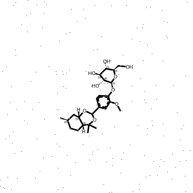 COc1cc(C2O[C@H]3C[C@H](C)CC[C@H]3C(C)(C)O2)ccc1O[C@@H]1O[C@H](CO)[C@@H](O)[C@H](O)[C@H]1O